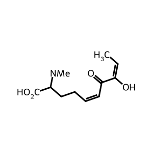 C/C=C(/O)C(=O)/C=C\CCC(NC)C(=O)O